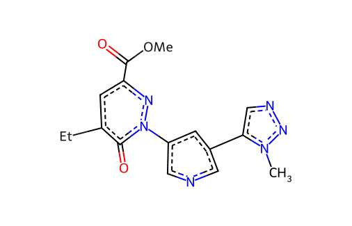 CCc1cc(C(=O)OC)nn(-c2cncc(-c3cnnn3C)c2)c1=O